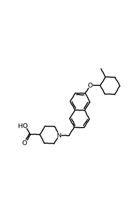 CC1CCCCC1Oc1ccc2cc(CN3CCC(C(=O)O)CC3)ccc2c1